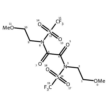 COCCN(C(=O)C(=O)N(CCOC)S(=O)(=O)C(F)(F)F)S(=O)(=O)C(F)(F)F